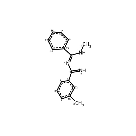 CN/C(=N\C(=N)c1cccc(C)c1)c1ccccc1